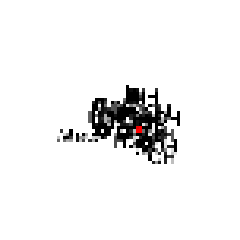 COc1ccc(C[C@H](NC(=O)[C@@H]2CCCN2)C(=O)N[C@@H](Cc2c[nH]cn2)C(=O)N[C@@H](C(C(=O)N[C@@]2(O)C(O)O[C@H](CO)[C@@H](O)[C@@H]2O)C2CCCCC2)[C@@H](O)[C@@H](O)[C@H](O)CO)cc1